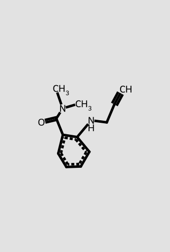 C#CCNc1ccccc1C(=O)N(C)C